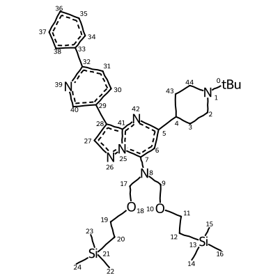 CC(C)(C)N1CCC(c2cc(N(COCC[Si](C)(C)C)COCC[Si](C)(C)C)n3ncc(-c4ccc(-c5ccccc5)nc4)c3n2)CC1